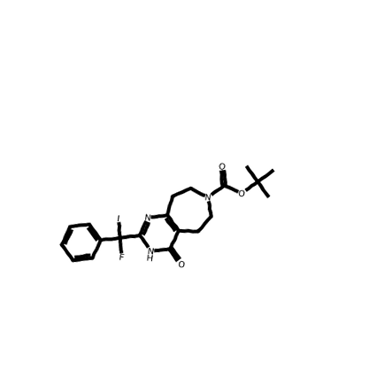 CC(C)(C)OC(=O)N1CCc2nc(C(F)(I)c3ccccc3)[nH]c(=O)c2CC1